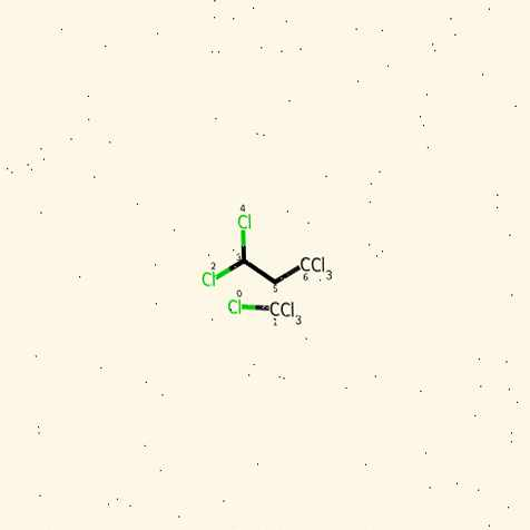 ClC(Cl)(Cl)Cl.ClC(Cl)CC(Cl)(Cl)Cl